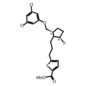 COC(=O)c1ccc(CCCC2[C@@H](COc3cc(Cl)cc(Cl)c3)CC[C@H]2F)s1